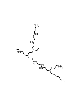 CCNCCN(CCNCCNNCCC(CCCN)CCCCN)CCN(CC)CCNCCNCCN